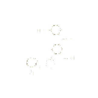 Cc1cccc(C(O)c2ccc(N3CC[C@H](Oc4ncccc4Cl)C3)c(CO)c2)c1